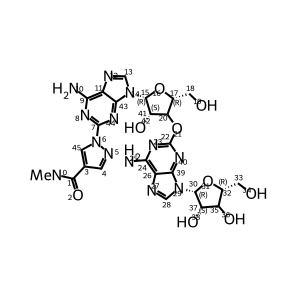 CNC(=O)c1cnn(-c2nc(N)c3ncn([C@@H]4O[C@H](CO)C(Oc5nc(N)c6ncn([C@@H]7O[C@H](CO)C(O)[C@@H]7O)c6n5)[C@@H]4O)c3n2)c1